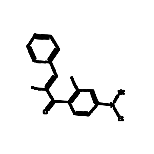 CCN(CC)c1ccc(C(=O)C(C)=Cc2ccccc2)c(C)c1